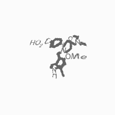 COc1cc(C)c2[nH]ccc2c1CN1CCC2(C[C@H]1c1ccc(C(=O)O)cc1)CN(C)CCO2